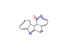 O=C1N=CC=c2ccc3c(c21)-c1ccccc1N=3